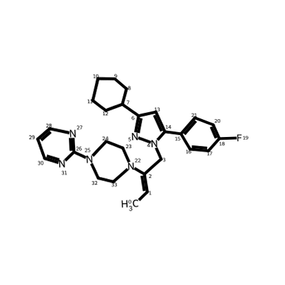 CC=C(Cn1nc(C2CCCCC2)cc1-c1ccc(F)cc1)N1CCN(c2ncccn2)CC1